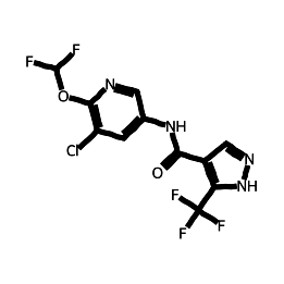 O=C(Nc1cnc(OC(F)F)c(Cl)c1)c1cn[nH]c1C(F)(F)F